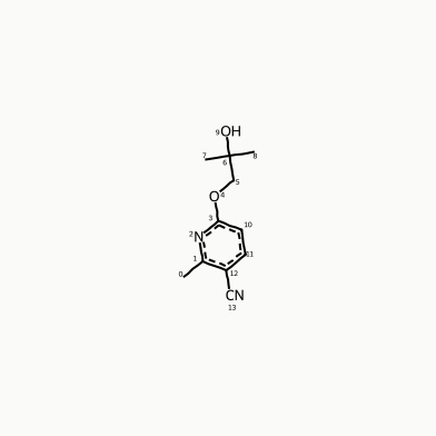 Cc1nc(OCC(C)(C)O)ccc1C#N